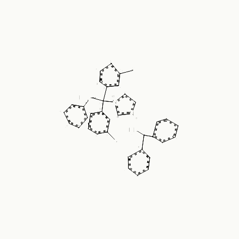 BC(c1ccccc1)c1ccccc1.Cc1cccc(C([SiH2]c2ccccc2)(c2cccc(C)c2)n2ccnc2)c1